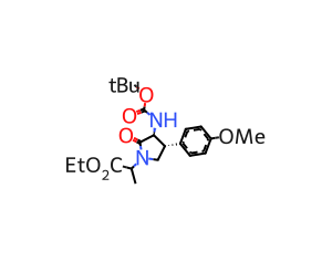 CCOC(=O)C(C)N1C[C@@H](c2ccc(OC)cc2)[C@H](NC(=O)OC(C)(C)C)C1=O